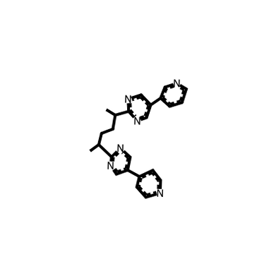 CC(CCC(C)c1ncc(-c2cccnc2)cn1)c1ncc(-c2ccncc2)cn1